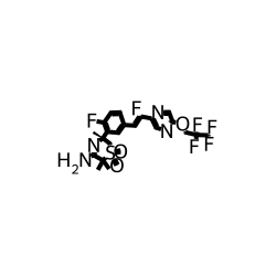 CC1(C)C(N)=N[C@](C)(c2cc(/C=C(\F)c3cnc(OCC(F)(F)C(F)F)cn3)ccc2F)CS1(=O)=O